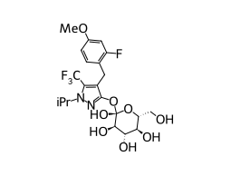 COc1ccc(Cc2c(O[C@]3(O)O[C@H](CO)[C@@H](O)[C@H](O)[C@H]3O)nn(C(C)C)c2C(F)(F)F)c(F)c1